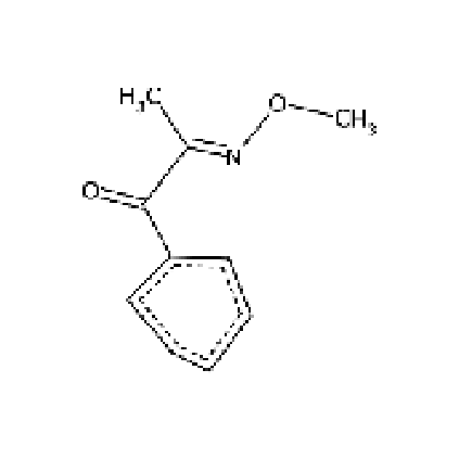 CON=C(C)C(=O)c1ccccc1